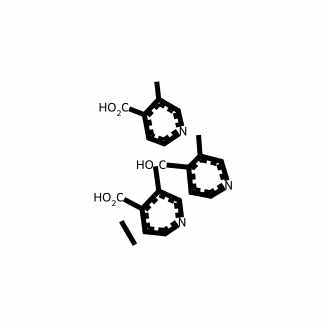 CC.Cc1cnccc1C(=O)O.Cc1cnccc1C(=O)O.Cc1cnccc1C(=O)O